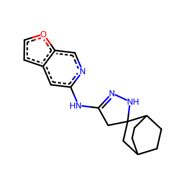 c1cc2cc(NC3=NNC4(C3)CC3CCC4CC3)ncc2o1